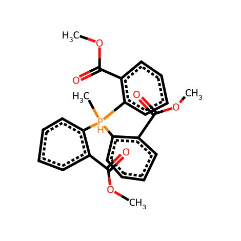 COC(=O)c1ccccc1[PH](C)(c1ccccc1C(=O)OC)c1ccccc1C(=O)OC